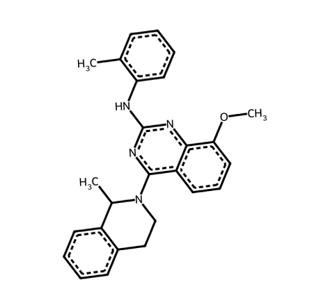 COc1cccc2c(N3CCc4ccccc4C3C)nc(Nc3ccccc3C)nc12